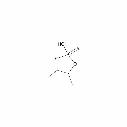 CC1OP(O)(=S)OC1C